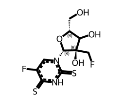 OC[C@H]1O[C@@H](n2cc(F)c(=S)[nH]c2=S)[C@@](O)(CF)C1O